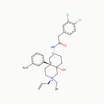 C=CC[N@@+]1(CC(C)C)CC[C@]2(c3cccc(OC(C)=O)c3)C[C@H](NC(=O)Cc3ccc(Cl)c(Cl)c3)CCC2(O)C1